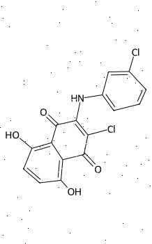 O=C1C(Cl)=C(Nc2cccc(Cl)c2)C(=O)c2c(O)ccc(O)c21